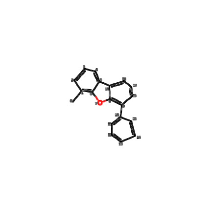 Cc1cccc2c1oc1c(-c3ccccc3)cccc12